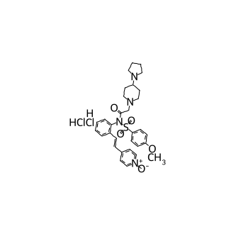 COc1ccc(S(=O)(=O)N(C(=O)CN2CCC(N3CCCC3)CC2)c2ccccc2/C=C/c2cc[n+]([O-])cc2)cc1.Cl.Cl